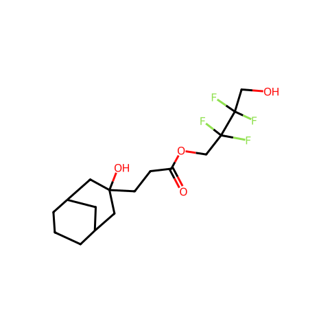 O=C(CCC1(O)CC2CCCC(C2)C1)OCC(F)(F)C(F)(F)CO